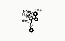 CNC(=O)C(C)NC(=O)C(C(CCOCc1ccccc1)C(=O)OC(C)(C)C)C1CCCC1c1ccc(OC)cc1